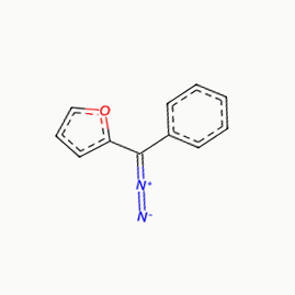 [N-]=[N+]=C(c1ccccc1)c1ccco1